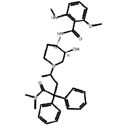 CNc1cccc(OC)c1C(=O)N[C@H]1CCN(C(C)CC(C(=O)N(C)C)(c2ccccc2)c2ccccc2)C[C@@H]1O